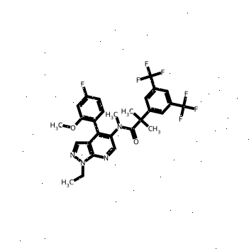 CCn1ncc2c(-c3ccc(F)cc3OC)c(N(C)C(=O)C(C)(C)c3cc(C(F)(F)F)cc(C(F)(F)F)c3)cnc21